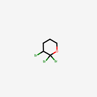 BrC1CCCOC1(Br)Br